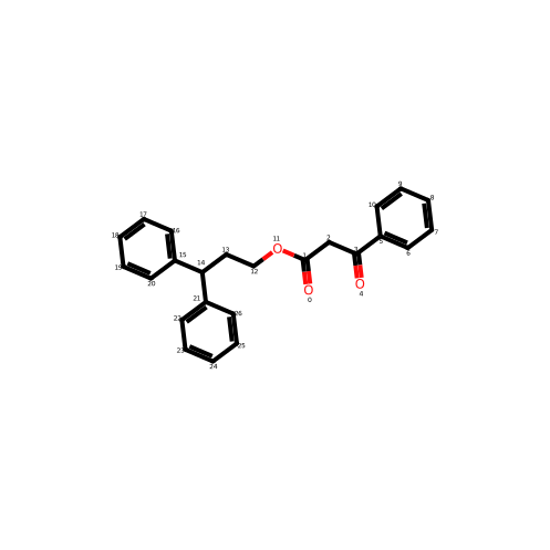 O=C(CC(=O)c1ccccc1)OCCC(c1ccccc1)c1ccccc1